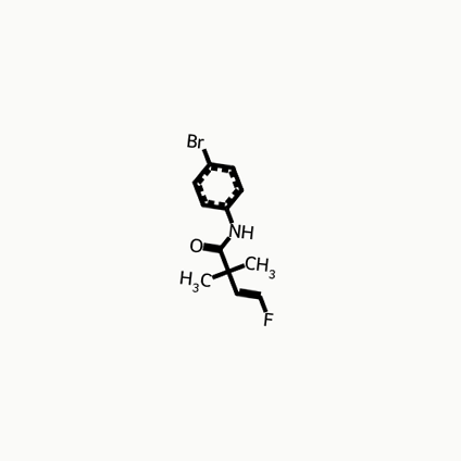 CC(C)(C=CF)C(=O)Nc1ccc(Br)cc1